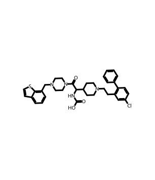 O=C(O)NC(C(=O)N1CCN(Cc2cccc3ccsc23)CC1)C1CCN(CCc2cc(Cl)ccc2-c2ccccc2)CC1